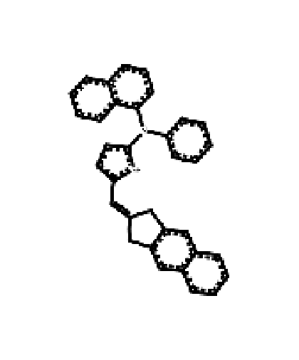 C(=C1Cc2cc3ccccc3cc2C1)c1ccc(N(c2ccccc2)c2cccc3ccccc23)[se]1